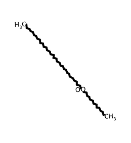 CCCCCCCCCCCCCCCCCCCCCCCCCCCCCCCCCCC(=O)OCCCCCCCCCCCCCC